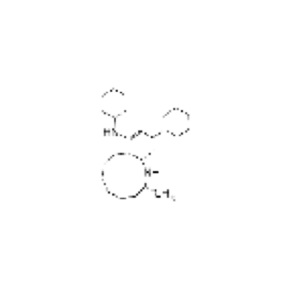 CC1CCCCCCC2C(NC3CCCCC3)=CC(C3CCCCC3)=CC2N1